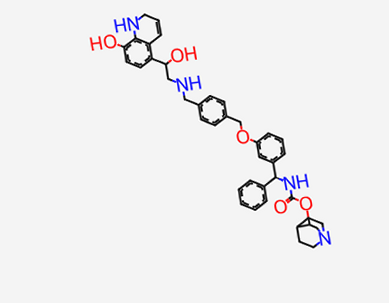 O=C(N[C@@H](c1ccccc1)c1cccc(OCc2ccc(CNCC(O)c3ccc(O)c4c3C=CCN4)cc2)c1)OC1CN2CCC1CC2